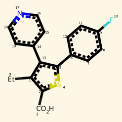 CCc1c(C(=O)O)sc(-c2ccc(F)cc2)c1-c1ccncc1